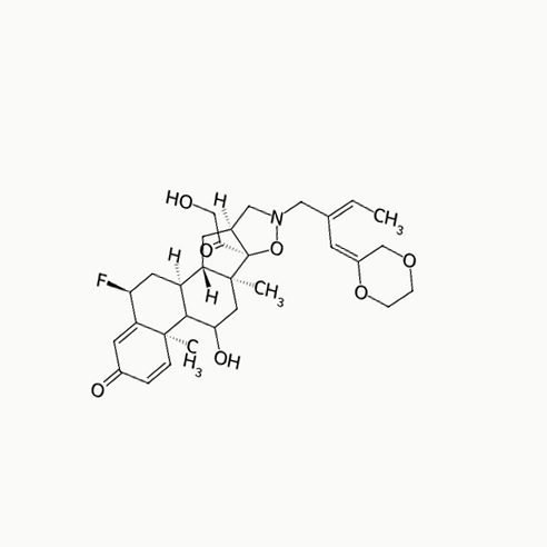 C/C=C(\C=C1/COCCO1)CN1C[C@@H]2C[C@H]3[C@@H]4C[C@H](F)C5=CC(=O)C=C[C@]5(C)C4C(O)C[C@]3(C)[C@]2(C(=O)CO)O1